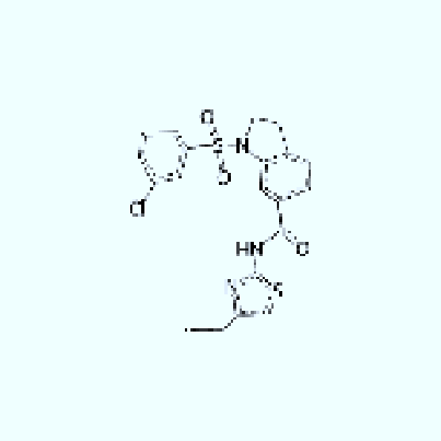 [CH2]Cc1csc(NC(=O)c2ccc3c(c2)N(S(=O)(=O)c2cccc(Cl)c2)CC3)n1